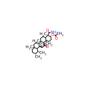 CC(=O)O[C@@H]1CC[C@@]2(C)C(CC[C@]3(C)C2C(=O)C=C2C4[C@@H](C)[C@H](C)CC[C@]4(C)CC[C@]23C)[C@@]1(C)C(N)=O